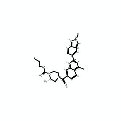 CCCOC(=O)N1CCN(C(=O)c2ccc3c(Cl)cc(-c4ccc5nn(C)cc5c4)nc3c2)C[C@@H]1C